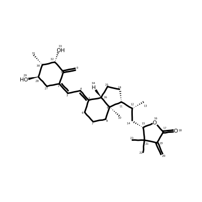 C=C1/C(=C\C=C2/CCC[C@]3(C)[C@@H]([C@H](C)C[C@@H]4OC(=O)C(=C)C4(C)C)CC[C@@H]23)C[C@@H](O)[C@H](C)[C@@H]1O